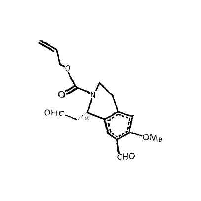 C=CCOC(=O)N1CCc2cc(OC)c(C=O)cc2[C@@H]1CC=O